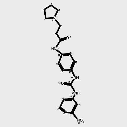 O=C(CCN1CCCC1)Nc1ccc(NC(=O)Nc2cccc([N+](=O)[O-])c2)cc1